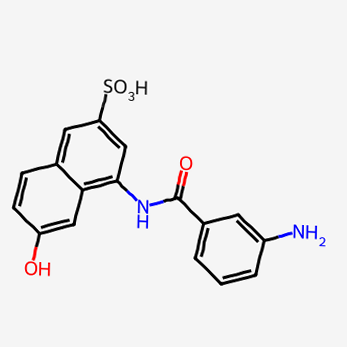 Nc1cccc(C(=O)Nc2cc(S(=O)(=O)O)cc3ccc(O)cc23)c1